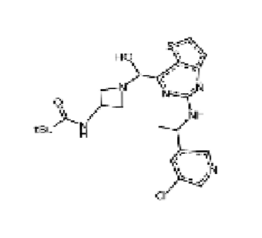 CC(Nc1nc(C(O)N2CC(NC(=O)C(C)(C)C)C2)c2sccc2n1)c1cncc(Cl)c1